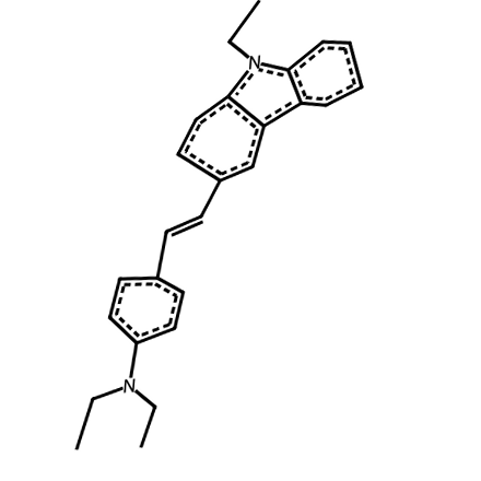 CCN(CC)c1ccc(C=Cc2ccc3c(c2)c2ccccc2n3CC)cc1